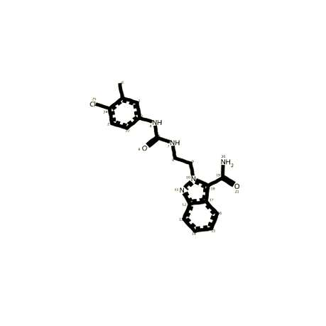 Cc1cc(NC(=O)NCCn2nc3ccccc3c2C(N)=O)ccc1Cl